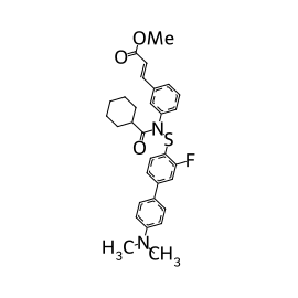 COC(=O)/C=C/c1cccc(N(Sc2ccc(-c3ccc(N(C)C)cc3)cc2F)C(=O)C2CCCCC2)c1